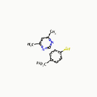 Cc1cc(C)ncn1.O=C(O)c1ccc(S)cc1